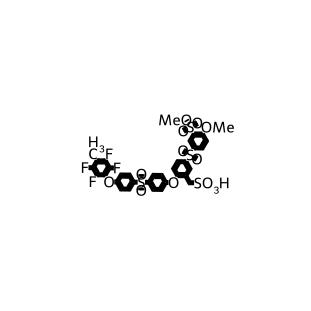 COc1ccc(S(=O)(=O)c2ccc(Oc3ccc(S(=O)(=O)c4ccc(Oc5c(F)c(F)c(C)c(F)c5F)cc4)cc3)c(CS(=O)(=O)O)c2)cc1S(=O)(=O)OC